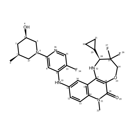 C[C@H]1C[C@@H](O)CN(c2cc(Nc3ccc4c(c3)c3c(c(=O)n4C)OCC(F)(F)[C@H](C4CC4)N3)c(F)cn2)C1